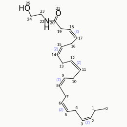 CC/C=C\C/C=C\C/C=C\C/C=C\C/C=C\C/C=C\CC(=O)NCCO